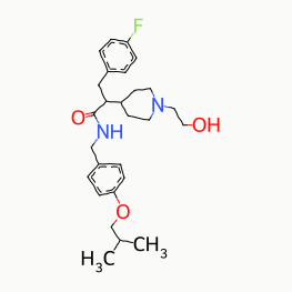 CC(C)COc1ccc(CNC(=O)C(Cc2ccc(F)cc2)C2CCN(CCO)CC2)cc1